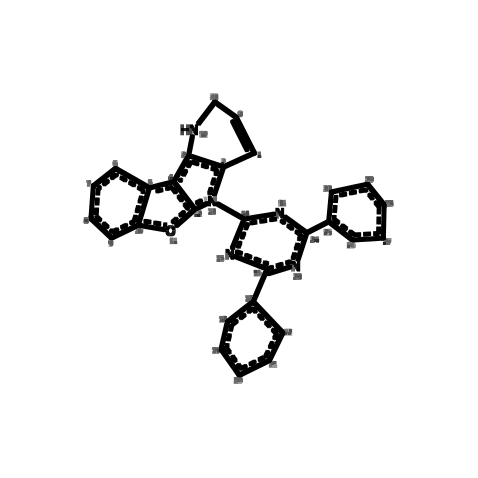 C1=Cc2c(c3c4ccccc4oc3n2-c2nc(-c3ccccc3)nc(-c3ccccc3)n2)NC1